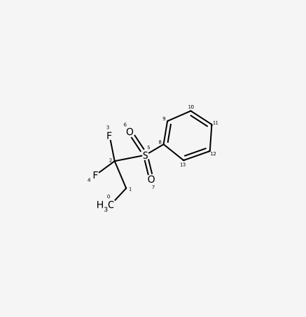 CCC(F)(F)S(=O)(=O)c1ccccc1